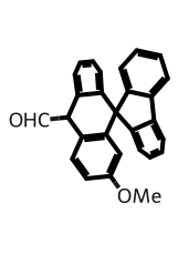 COc1ccc2c(c1)C1(c3ccccc3-c3ccccc31)c1ccccc1C2C=O